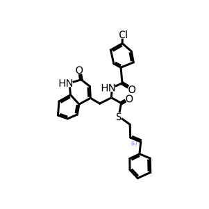 O=C(NC(Cc1cc(=O)[nH]c2ccccc12)C(=O)SC/C=C/c1ccccc1)c1ccc(Cl)cc1